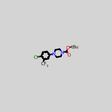 CC(C)(C)OC(=O)N1CCN(c2ccc(Cl)c(C(F)(F)F)c2)CC1